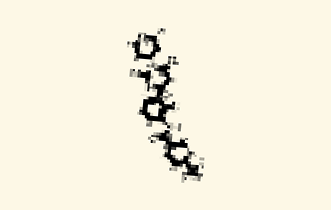 C[C@@H]1C[C@H](N2C(=N)N[C@](C)(c3cccc(NC(=O)c4ccc(C(F)(F)F)nc4)c3Cl)CC2=O)CCO1